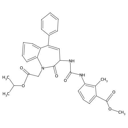 COC(=O)c1cccc(NC(=O)NC2C=C(c3ccccc3)c3ccccc3N(CC(=O)OC(C)C)C2=O)c1C